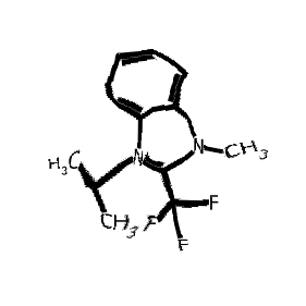 CC(C)[n+]1c(C(F)(F)F)n(C)c2ccccc21